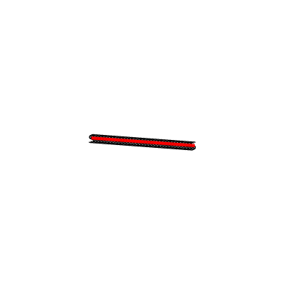 S=S=S=S=S=S=S=S=S=S=S=S=S=S=S=S=S=S=S=S=S=S=S=S=S=S=S=S=S=S=S=S=S=S=S=S=S=S=S=S=S=S=S=S=S=S=S=S=S=S=S=S=S=S=S=S=S=S=S=S=S=S=S=S=S=S=S=S=S=S